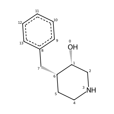 O[C@@H]1CNCC[C@@H]1Cc1ccccc1